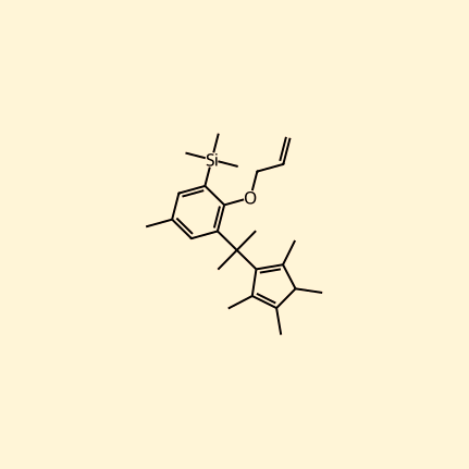 C=CCOc1c(C(C)(C)C2=C(C)C(C)C(C)=C2C)cc(C)cc1[Si](C)(C)C